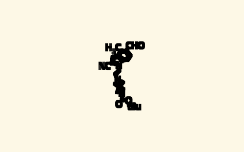 Cc1c(C=O)ccc2c1cc(C#N)n2CCN1CC2(C1)CN(C(=O)OC(C)(C)C)C2